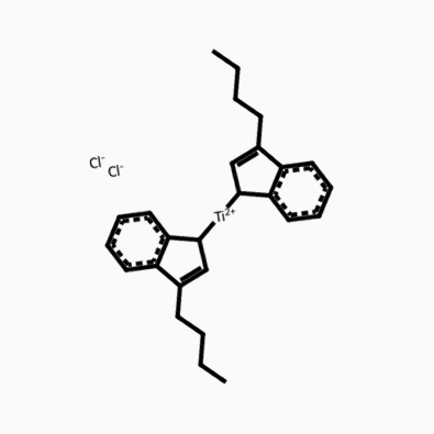 CCCCC1=C[CH]([Ti+2][CH]2C=C(CCCC)c3ccccc32)c2ccccc21.[Cl-].[Cl-]